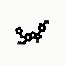 COc1cc2c(cc1OC1CCOC1)Cc1c(-c3ccc(C#N)nc3)n[nH]c1-2